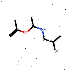 C=C(C)OC(C)NCC(C)C(C)C